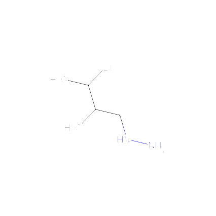 CCC(C)C(C)CNN